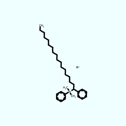 CCCCCCCCCCCCCCCCCC(c1ccccc1)[N+](C)(C)c1ccccc1.[Br-]